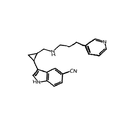 N#Cc1ccc2[nH]cc(C3CC3CNCCCc3cccnc3)c2c1